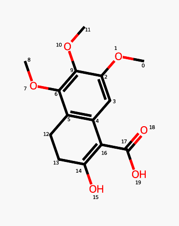 COc1cc2c(c(OC)c1OC)CCC(O)=C2C(=O)O